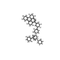 c1ccc(-c2cc(-c3ccc(-c4cccc(-c5nc6ccccc6c6c(-c7ccccc7)cccc56)c4)cc3)nc(-c3ccccc3)n2)cc1